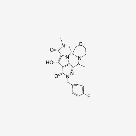 CC(c1nn(Cc2ccc(F)cc2)c(=O)c2c(O)c3n(c12)CCN(C)C3=O)N1CCOCC1